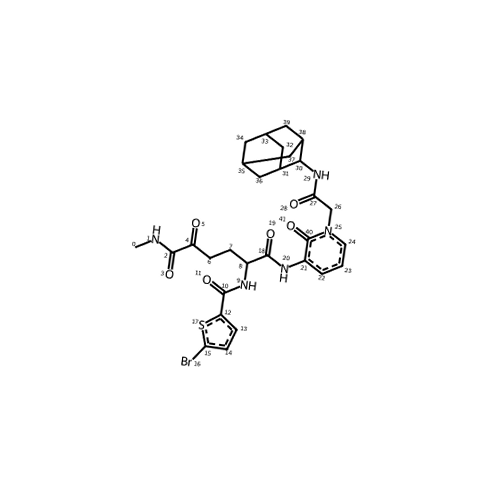 CNC(=O)C(=O)CCC(NC(=O)c1ccc(Br)s1)C(=O)Nc1cccn(CC(=O)NC2C3CC4CC(C3)CC2C4)c1=O